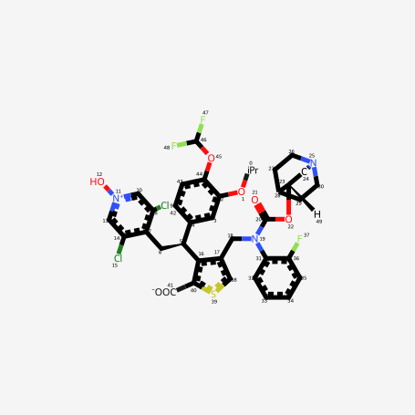 CC(C)Oc1cc([C@H](Cc2c(Cl)c[n+](O)cc2Cl)c2c(CN(C(=O)O[C@H]3CN4CCC3CC4)c3ccccc3F)csc2C(=O)[O-])ccc1OC(F)F